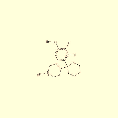 CCC[SiH]1CCC(C2(c3ccc(OCC)c(F)c3F)CCCCC2)CC1